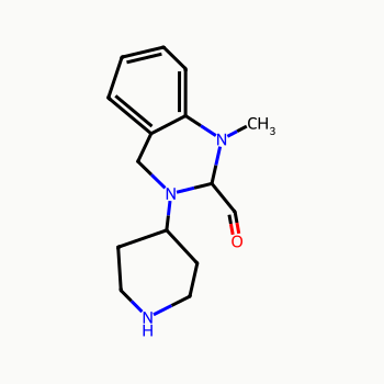 CN1c2ccccc2CN(C2CCNCC2)C1C=O